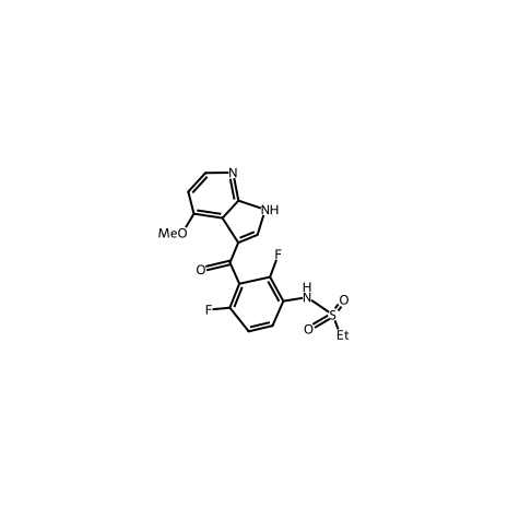 CCS(=O)(=O)Nc1ccc(F)c(C(=O)c2c[nH]c3nccc(OC)c23)c1F